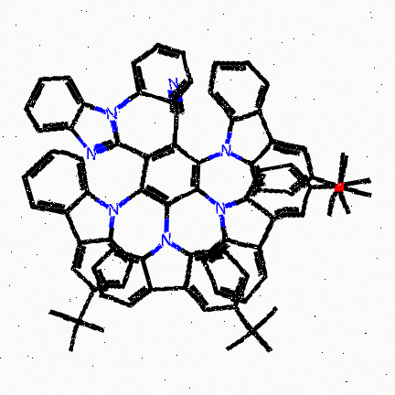 CC(C)(C)c1ccc2c(c1)c1ccccc1n2-c1c(C#N)c(-c2nc3ccccc3n2-c2ccccc2)c(-n2c3ccccc3c3cc(C(C)(C)C)ccc32)c(-n2c3ccccc3c3cc(C(C)(C)C)ccc32)c1-n1c2ccccc2c2cc(C(C)(C)C)ccc21